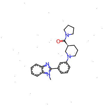 Cn1c(-c2cccc(N3CCC[C@H](C(=O)N4CCCC4)C3)c2)nc2ccccc21